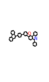 c1ccc(-c2nc3ccccc3c3c2ccc2c4cc(-c5ccc(-c6cc7ccccc7c7ccccc67)cc5)ccc4oc23)cc1